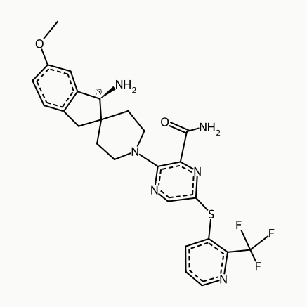 COc1ccc2c(c1)[C@@H](N)C1(CCN(c3ncc(Sc4cccnc4C(F)(F)F)nc3C(N)=O)CC1)C2